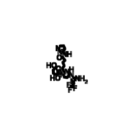 NC(=NCC(F)(F)F)Nc1ccnc(CCCCC(=O)Nc2cccnn2)n1.O=C(O)/C=C\C(=O)O